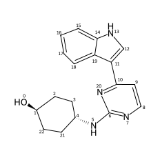 O[C@H]1CC[C@H](Nc2nccc(-c3c[nH]c4ccccc34)n2)CC1